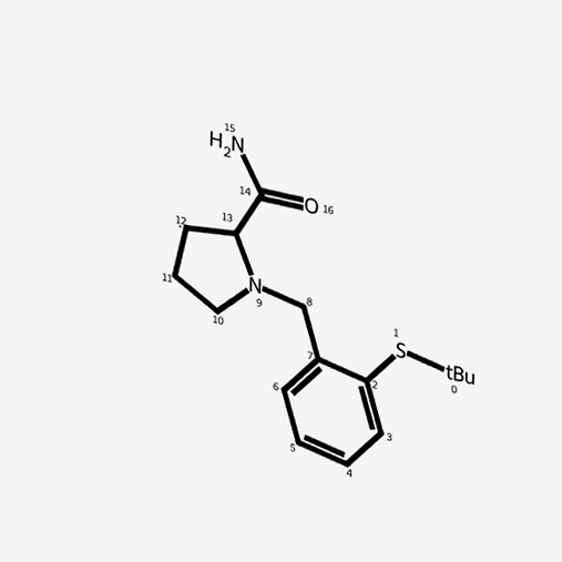 CC(C)(C)Sc1ccccc1CN1CC[CH]C1C(N)=O